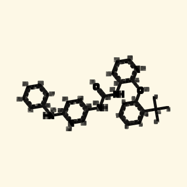 CC(C)(C)c1ccccc1Oc1ncccc1NC(=O)Nc1ccc(Nc2ccccc2)nc1